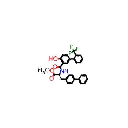 COC(=O)[C@H](Cc1ccc(-c2ccccc2)cc1)NC(=O)c1cc(-c2ccccc2C(F)(F)F)ccc1O